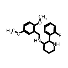 COc1ccc(OC)c(CNC2CCCNC2c2ccccc2F)c1